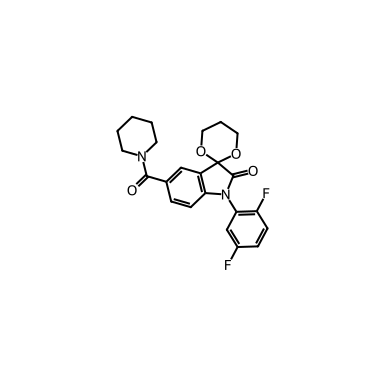 O=C(c1ccc2c(c1)C1(OCCCO1)C(=O)N2c1cc(F)ccc1F)N1CCCCC1